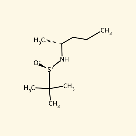 CCC[C@@H](C)N[S@+]([O-])C(C)(C)C